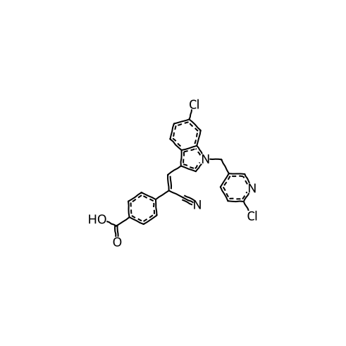 N#CC(=Cc1cn(Cc2ccc(Cl)nc2)c2cc(Cl)ccc12)c1ccc(C(=O)O)cc1